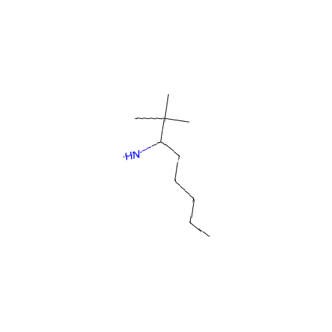 CCCCCC([NH])C(C)(C)C